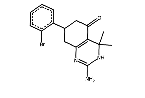 CC1(C)NC(N)=NC2=C1C(=O)CC(c1ccccc1Br)C2